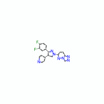 Fc1ccc(-c2nn(-c3ccc4nncn4n3)cc2-c2ccncc2)cc1F